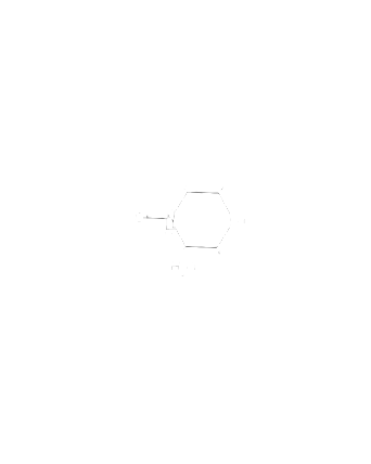 O.[O-][NH+]1CCOCC1